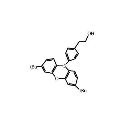 CC(C)(C)c1ccc2c(c1)Oc1cc(C(C)(C)C)ccc1[S+]2c1ccc(CCO)cc1